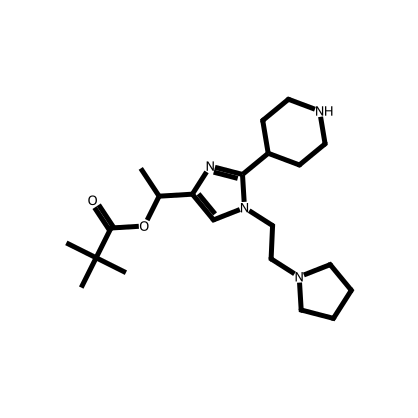 CC(OC(=O)C(C)(C)C)c1cn(CCN2CCCC2)c(C2CCNCC2)n1